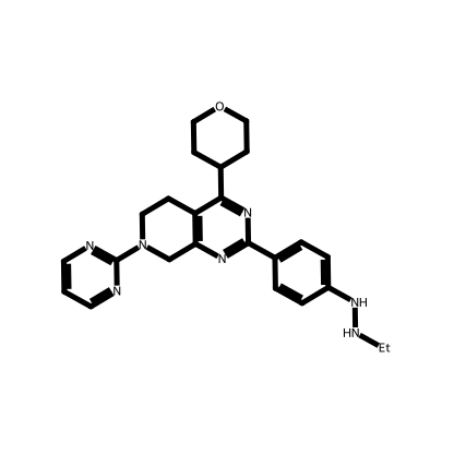 CCNNc1ccc(-c2nc3c(c(C4CCOCC4)n2)CCN(c2ncccn2)C3)cc1